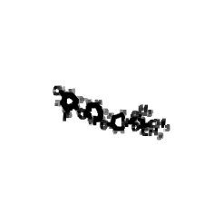 CC(C)(C)OC(=O)N1CCC(Oc2cccc(Oc3ccc(Cl)cc3F)n2)CC1